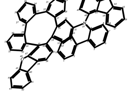 c1ccc(-c2ccccc2N(c2ccc3c(c2)c2ccccc2c2ccccc2c2ccccc2c2c3ccc3c4ccccc4oc32)c2cccc3oc4ccccc4c23)cc1